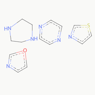 C1CNCCN1.c1cnccn1.c1cocn1.c1cscn1